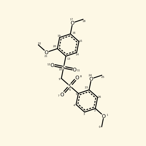 COc1ccc(S(=O)(=O)CS(=O)(=O)c2ccc(OC)cc2OC)c(OC)c1